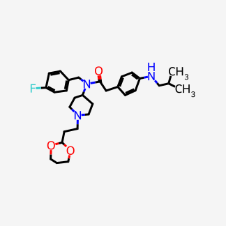 CC(C)CNc1ccc(CC(=O)N(Cc2ccc(F)cc2)C2CCN(CCC3OCCCO3)CC2)cc1